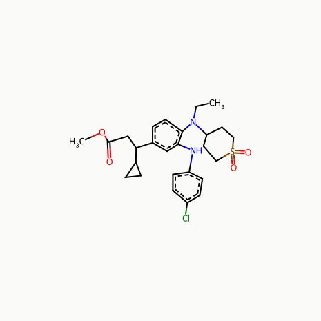 CCN(c1ccc(C(CC(=O)OC)C2CC2)cc1Nc1ccc(Cl)cc1)C1CCS(=O)(=O)CC1